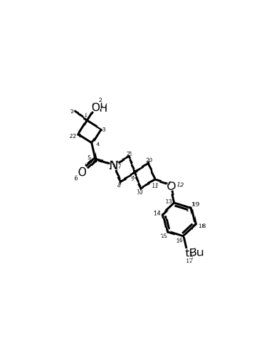 CC1(O)CC(C(=O)N2CC3(CC(Oc4ccc(C(C)(C)C)cc4)C3)C2)C1